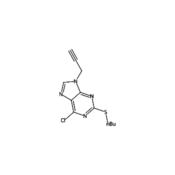 C#CCn1cnc2c(Cl)nc(SCCCC)nc21